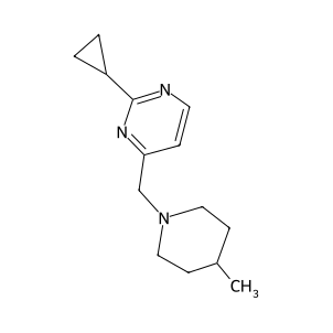 CC1CCN(Cc2ccnc(C3CC3)n2)CC1